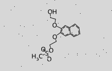 CS(=O)(=O)OCCOc1cc2ccccc2cc1OCCO